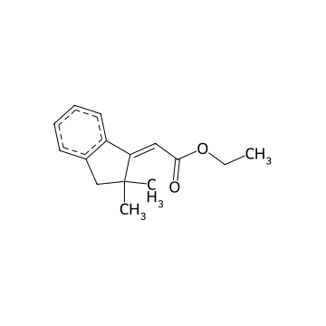 CCOC(=O)C=C1c2ccccc2CC1(C)C